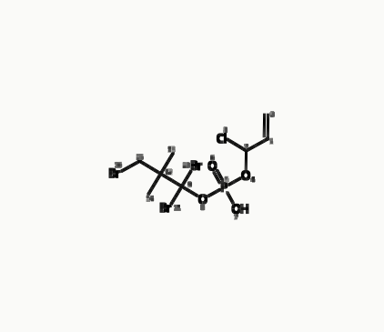 C=CC(Cl)OP(=O)(O)OC(Br)(Br)C(C)(C)CBr